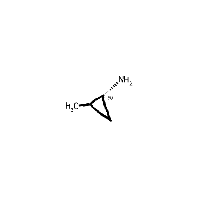 CC1C[C@H]1N